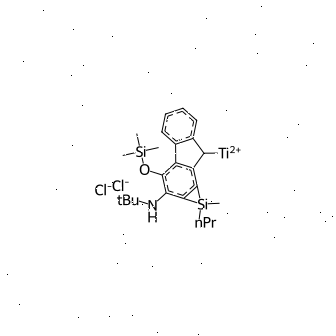 CCC[Si]1(C)c2c(NC(C)(C)C)c(O[Si](C)(C)C)c3c(c21)[CH]([Ti+2])c1ccccc1-3.[Cl-].[Cl-]